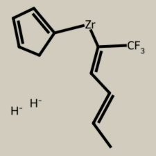 CC=CC=[C]([Zr][C]1=CC=CC1)C(F)(F)F.[H-].[H-]